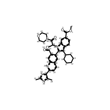 COC(=O)c1ccc2c(C3CCCCC3)c(-c3cc4ccc(-c5sc(C)nc5C)nc4cc3C=O)n(C(Cl)C(=O)N3CCOCC3)c2c1